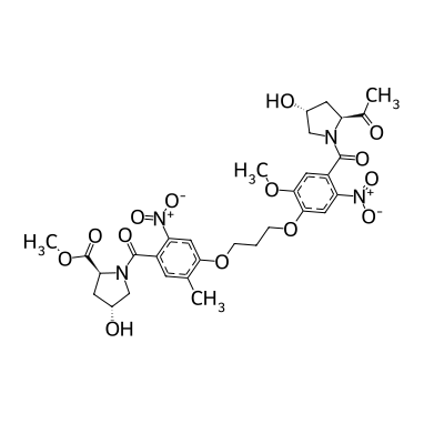 COC(=O)[C@@H]1C[C@@H](O)CN1C(=O)c1cc(C)c(OCCCOc2cc([N+](=O)[O-])c(C(=O)N3C[C@H](O)C[C@H]3C(C)=O)cc2OC)cc1[N+](=O)[O-]